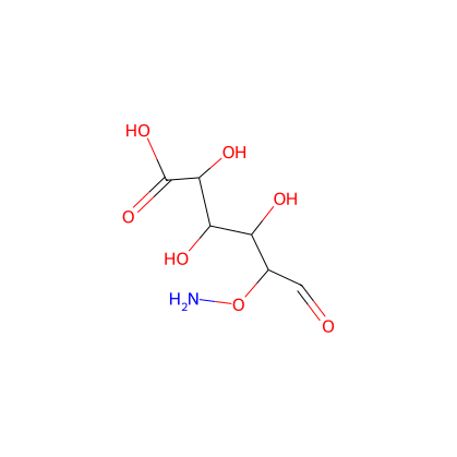 NOC(C=O)C(O)C(O)C(O)C(=O)O